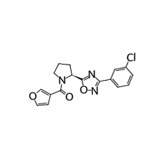 O=C(c1ccoc1)N1CCC[C@H]1c1nc(-c2cccc(Cl)c2)no1